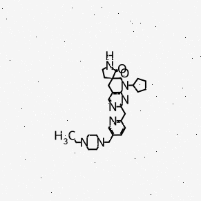 CCN1CCN(Cc2ccc(Cc3ncc4c(n3)N(C3CCCC3)C(=O)[C@]3(CCNC3=O)C4)nc2)CC1